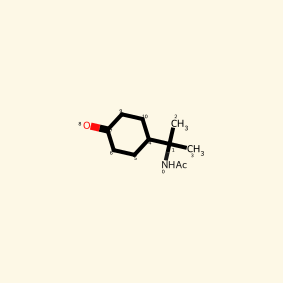 CC(=O)NC(C)(C)C1CCC(=O)CC1